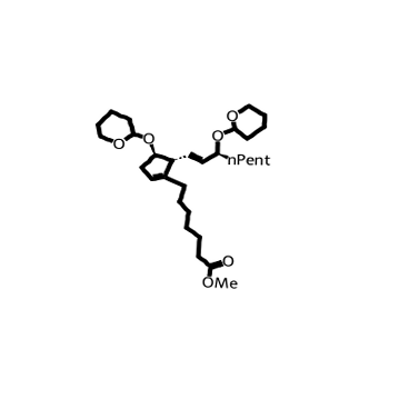 CCCCC[C@@H](C=C[C@@H]1C(CCCCCCC(=O)OC)=CC[C@H]1OC1CCCCO1)OC1CCCCO1